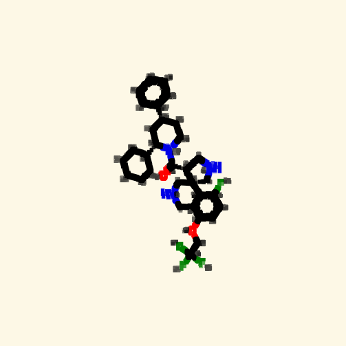 O=C([C@@H]1CNC[C@]12CNCc1c(OCC(F)(F)F)ccc(F)c12)N1CC[C@@H](c2ccccc2)C[C@H]1C1CCCCC1